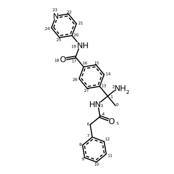 CC(N)(NC(=O)Cc1ccccc1)c1ccc(C(=O)Nc2ccncc2)cc1